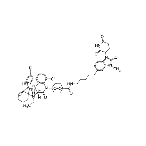 CCN1[C@H]2C(=O)N(C34CCC(C(=O)NCCCCCc5ccc6c(c5)n(C)c(=O)n6C5CCC(=O)NC5=O)(CC3)CC4)c3c(Cl)cccc3[C@@H]2[C@]2(C(=O)Nc3cc(Cl)ccc32)C12CCCCC2